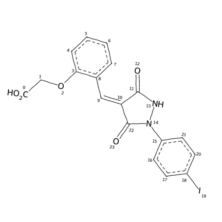 O=C(O)COc1ccccc1C=C1C(=O)NN(c2ccc(I)cc2)C1=O